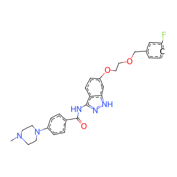 CN1CCN(c2ccc(C(=O)Nc3n[nH]c4cc(OCCOCc5cccc(F)c5)ccc34)cc2)CC1